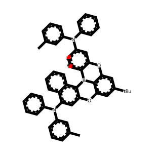 Cc1cccc(N(c2ccccc2)c2cc3c(c4ccccc24)B2c4c(cc(C(C)(C)C)cc4Oc4cc(N(c5ccccc5)c5cccc(C)c5)c5ccccc5c42)O3)c1